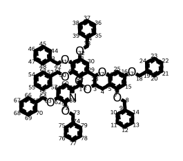 O=C(OC1Cc2c(OCc3ccccc3)cc(OCc3ccccc3)cc2OC1c1cc(OCc2ccccc2)c(OCc2ccccc2)c(OCc2ccccc2)c1)c1ccc(OCc2ccccc2)c(OCc2ccccc2)n1